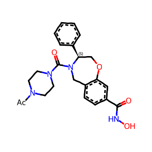 CC(=O)N1CCN(C(=O)N2Cc3ccc(C(=O)NO)cc3OC[C@@H]2c2ccccc2)CC1